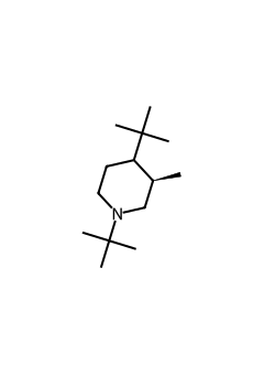 C[C@H]1CN(C(C)(C)C)CCC1C(C)(C)C